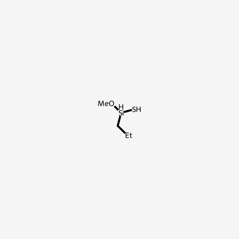 CCC[SiH](S)OC